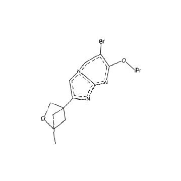 CC(C)Oc1nc2nc(C34COC(C)(C3)C4)cn2cc1Br